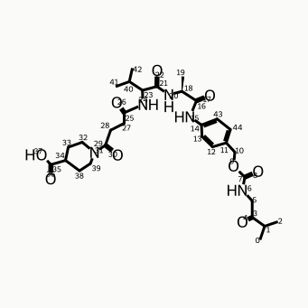 CC(C)C(=O)CNC(=O)OCc1ccc(NC(=O)[C@H](C)NC(=O)C(NC(=O)CCC(=O)N2CCC(C(=O)O)CC2)C(C)C)cc1